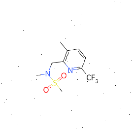 Cc1ccc(C(F)(F)F)nc1CN(C)S(C)(=O)=O